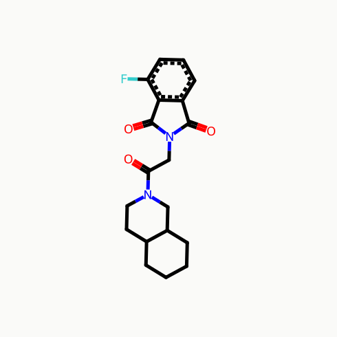 O=C(CN1C(=O)c2cccc(F)c2C1=O)N1CCC2CCCCC2C1